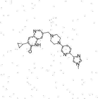 Cn1cnc(-c2ccc(N3CCN(Cc4cnc5cc(C6CC6)c(=O)[nH]c5c4)CC3)cn2)c1